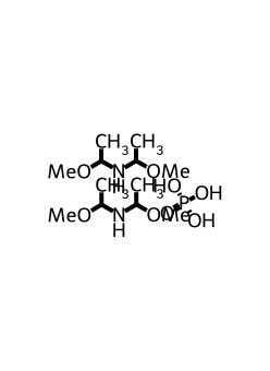 COC(C)NC(C)OC.COC(C)NC(C)OC.O=P(O)(O)O